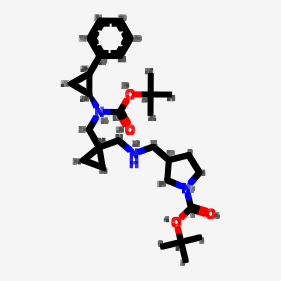 CC(C)(C)OC(=O)N1CCC(CNCC2(CN(C(=O)OC(C)(C)C)[C@H]3CC3c3ccccc3)CC2)C1